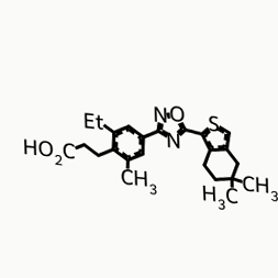 CCc1cc(-c2noc(-c3scc4c3CCC(C)(C)C4)n2)cc(C)c1CCC(=O)O